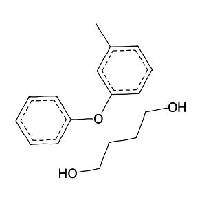 Cc1cccc(Oc2ccccc2)c1.OCCCCO